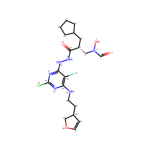 O=CN(O)C[C@@H](CC1CCCC1)C(=O)NNc1nc(Cl)nc(NCCC2C=COC2)c1F